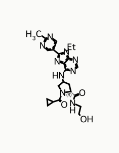 CCn1c(-c2cnc(C)nc2)nc2c(NC3C[C@H](C(=O)NCCO)N(C(=O)C4CC4)C3)ncnc21